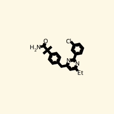 CCc1cc(Cc2ccc(C(C)(C)C(N)=O)cc2)nc(-c2cccc(Cl)c2)n1